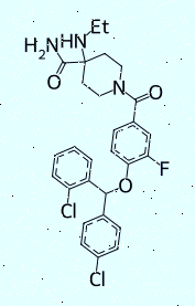 CCNC1(C(N)=O)CCN(C(=O)c2ccc(OC(c3ccc(Cl)cc3)c3ccccc3Cl)c(F)c2)CC1